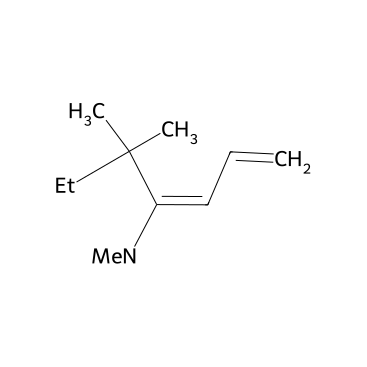 C=C/C=C(/NC)C(C)(C)CC